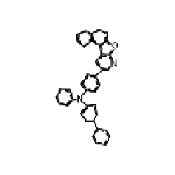 C1=CC(c2ccccc2)CC=C1N(c1ccccc1)c1ccc(-c2cnc3oc4ccc5ccccc5c4c3c2)cc1